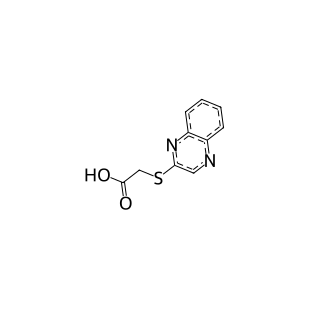 O=C(O)CSc1cnc2ccccc2n1